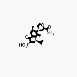 NC(=O)C1CN(c2c(F)cc3c(=O)c(C(=O)O)cn(C4CC4)c3c2F)CCO1